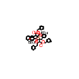 CC(C)(C)OC(=O)C(Cc1ccccc1)(SC(Cc1ccccc1)(C(=O)OC(C)(C)C)C(CCc1ccccc1)C(=O)OCc1ccccc1)C(CCc1ccccc1)C(=O)OCc1ccccc1